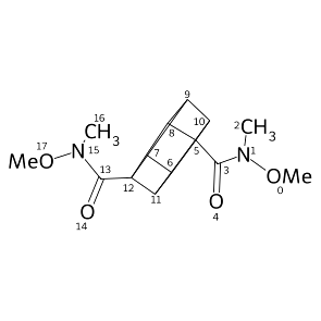 CON(C)C(=O)C12C3C4C1C1C2C3C41C(=O)N(C)OC